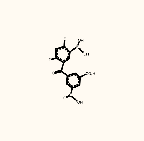 O=C(O)c1cc(B(O)O)cc(C(=O)c2cc(B(O)O)c(F)cc2F)c1